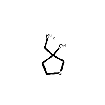 NCC1(O)CCSC1